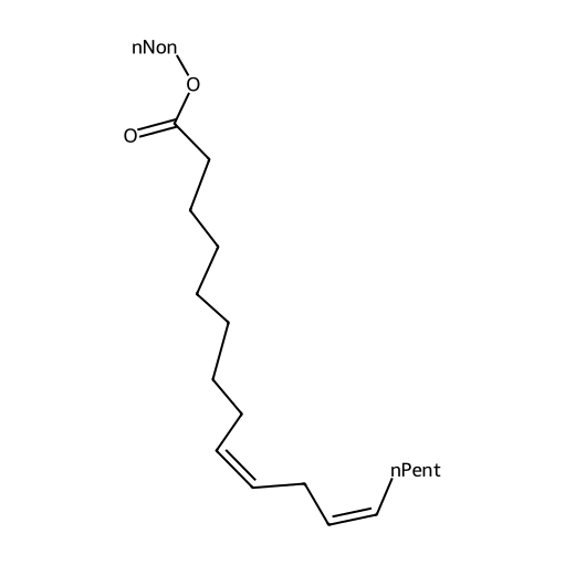 CCCCC/C=C\C/C=C\CCCCCCCC(=O)OCCCCCCCCC